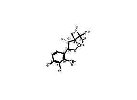 C[C@H]1[C@H](c2ccc(F)c(F)c2O)CO[C@@]1(C)C(F)(F)F